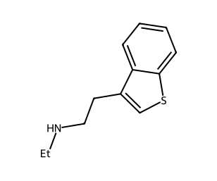 CCNCCc1csc2ccccc12